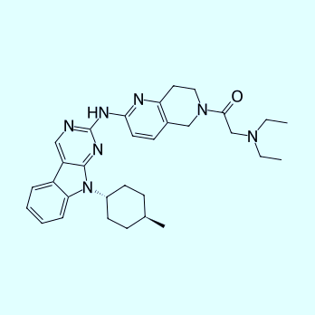 CCN(CC)CC(=O)N1CCc2nc(Nc3ncc4c5ccccc5n([C@H]5CC[C@H](C)CC5)c4n3)ccc2C1